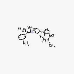 CCOC(=O)c1cnn(-c2ccc(/C(N)=C/N(N)c3cccc(N)c3)cc2)c1C(F)(F)F